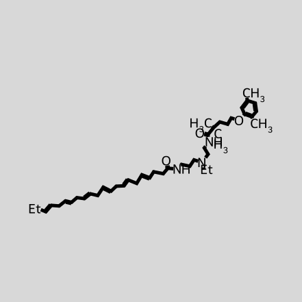 CCC=CCC=CCC=CCC=CCC=CCC=CCCC(=O)NCCCN(CC)CCNC(=O)C(C)(C)CCCOc1cc(C)ccc1C